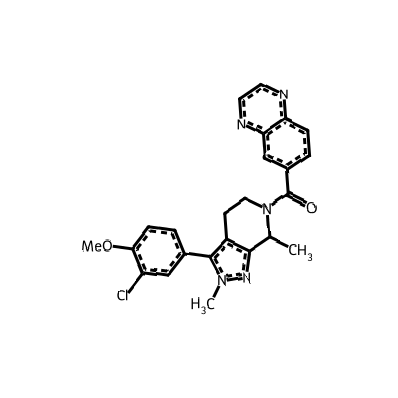 COc1ccc(-c2c3c(nn2C)C(C)N(C(=O)c2ccc4nccnc4c2)CC3)cc1Cl